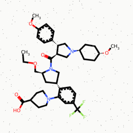 CCOC[C@@H]1C[C@@H](c2ccc(C(F)(F)F)cc2N2CCC(C(=O)O)CC2)CN1C(=O)[C@@H]1CN([C@H]2CC[C@H](OC)CC2)C[C@H]1c1ccc(OC)cc1